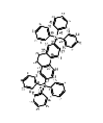 c1ccc([Si](c2ccccc2)(c2ccccc2)c2ccc3c(c2)CCc2cc([Si](c4ccccc4)(c4ccccc4)c4ccccc4)ccc2-3)cc1